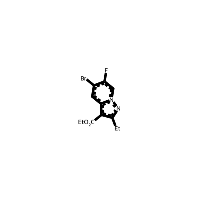 CCOC(=O)c1c(CC)nn2cc(F)c(Br)cc12